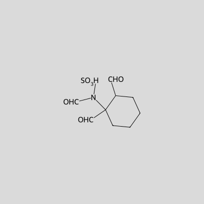 O=CC1CCCCC1(C=O)N(C=O)S(=O)(=O)O